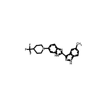 Cc1ccc2[nH]nc(-c3nc4ccc(N5CCC(C(F)(F)F)CC5)cc4[nH]3)c2c1